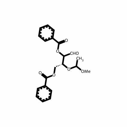 COC(C)O[C@H](COC(=O)c1ccccc1)C(C=O)OC(=O)c1ccccc1